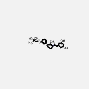 C[C@@H]1/C(=C/C=C2C[C@@H](O)C[C@H](O)C2)CCC[C@H]1c1cccc(OCCC(C)(C)O)c1